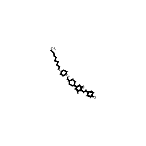 CCCCCCCCCC[C@H]1CC[C@H](CCC2CCC(c3cc(F)c(CCc4ccc(Cl)cc4)c(F)c3)CC2)CC1